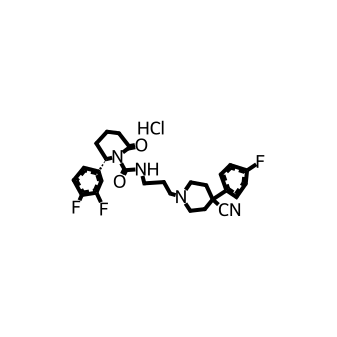 Cl.N#CC1(c2ccc(F)cc2)CCN(CCCNC(=O)N2C(=O)CCC[C@H]2c2ccc(F)c(F)c2)CC1